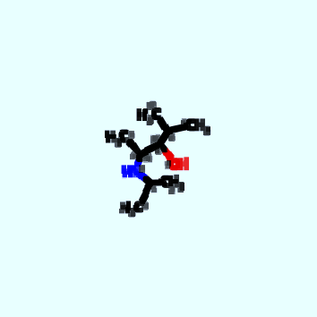 CC(C)N[C@@H](C)[C@H](O)C(C)C